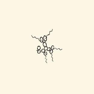 CCCCCCOc1cc2c(cc1OCCCCCC)c1cc(OC(C)=O)cc(OCCCCCC)c1c1cc(OCCCCCC)c(OCCCCCC)cc21